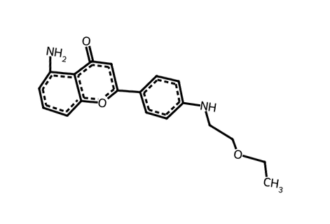 CCOCCNc1ccc(-c2cc(=O)c3c(N)cccc3o2)cc1